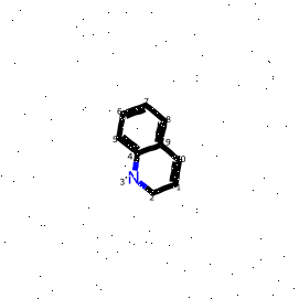 [C]1=CC[N]c2ccccc21